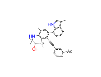 CC(=O)c1cccc(C#Cc2c(-c3cccc4c(C)c[nH]c34)cc(C)c3c2[C@H](C)C(O)C(C)(C)N3)c1